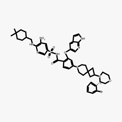 CC1(C)CCC(CNc2ncc(S(=O)(=O)NC(=O)c3ccc(N4CCC5(CC4)CC(N4CCOC[C@@H]4c4ccccc4Br)C5)cc3Oc3cnc4[nH]ccc4c3)cc2[N+](=O)[O-])CC1